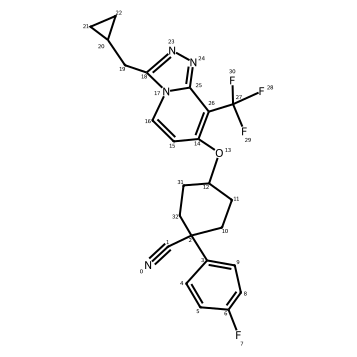 N#CC1(c2ccc(F)cc2)CCC(Oc2ccn3c(CC4CC4)nnc3c2C(F)(F)F)CC1